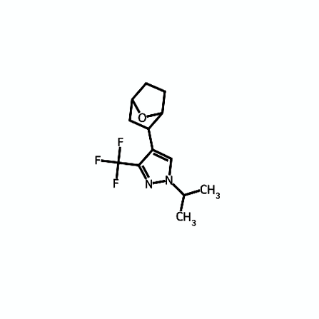 CC(C)n1cc(C2CC3CCC2O3)c(C(F)(F)F)n1